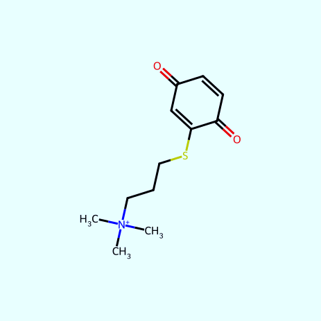 C[N+](C)(C)CCCSC1=CC(=O)C=CC1=O